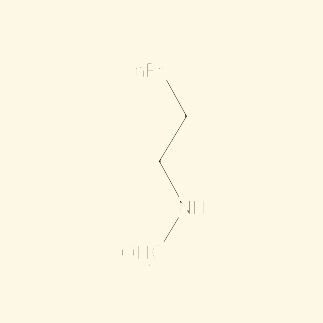 [CH2]CCCCN[C]=O